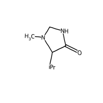 CC(C)C1C(=O)NCN1C